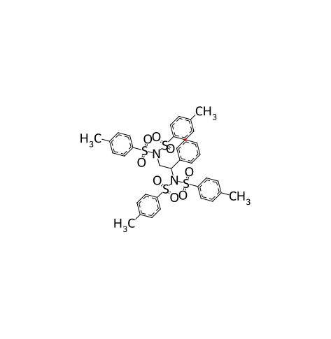 Cc1ccc(S(=O)(=O)N(CC(c2ccccc2)N(S(=O)(=O)c2ccc(C)cc2)S(=O)(=O)c2ccc(C)cc2)S(=O)(=O)c2ccc(C)cc2)cc1